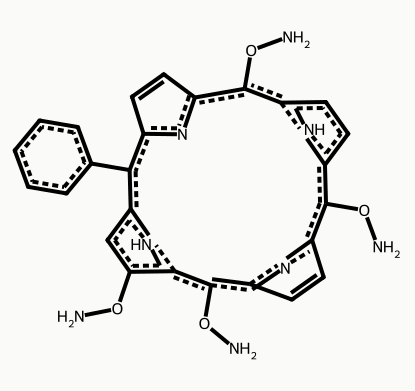 NOc1c2nc(c(-c3ccccc3)c3cc(ON)c([nH]3)c(ON)c3nc(c(ON)c4ccc1[nH]4)C=C3)C=C2